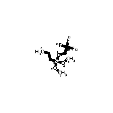 CCC[Si](OC)(OC)OCC(F)(F)F